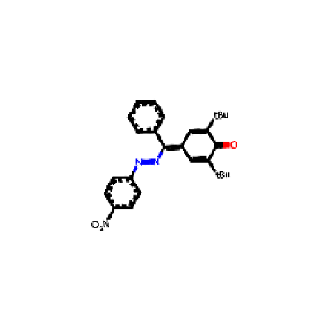 CC(C)(C)C1=CC(=C(N=Nc2ccc([N+](=O)[O-])cc2)c2ccccc2)C=C(C(C)(C)C)C1=O